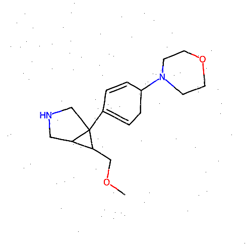 COCC1C2CNCC21C1=CCC(N2CCOCC2)C=C1